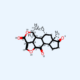 CC(=O)O[C@@H]1C[C@]2(C)C(=O)CCC2C2C(=O)C3OC=C4C(=O)O[C@H](C)[C@@](C)(C43)C21